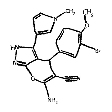 COc1ccc(C2C(C#N)=C(N)Oc3n[nH]c(-c4ccn(C)c4)c32)cc1Br